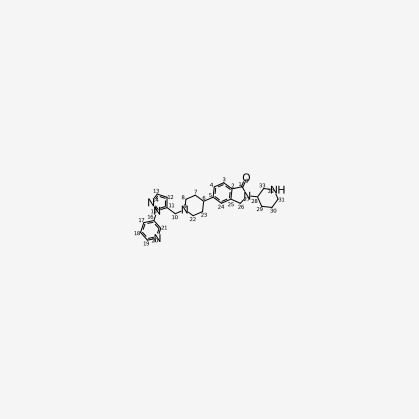 O=C1c2ccc(C3CCN(Cc4ccnn4-c4cccnc4)CC3)cc2CN1C1CCCNC1